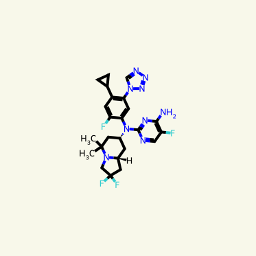 CC1(C)C[C@H](N(c2ncc(F)c(N)n2)c2cc(-n3cnnn3)c(C3CC3)cc2F)C[C@@H]2CC(F)(F)CN21